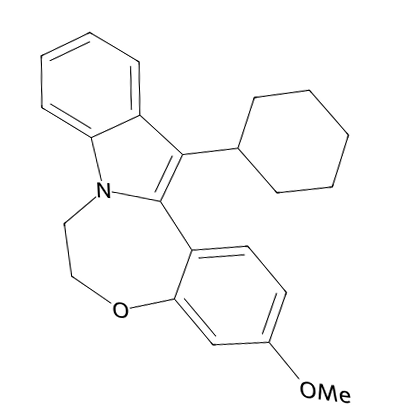 COc1ccc2c(c1)OCCn1c-2c(C2CCCCC2)c2ccccc21